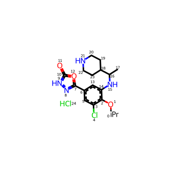 CC(C)Oc1c(Cl)cc(-c2n[nH]c(=O)o2)cc1NC(C)C1CCNCC1.Cl